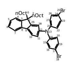 CCCCCCCCC1(CCCCCCCC)c2ccccc2-c2ccc(N(c3ccc(Br)cc3)c3ccc(Br)cc3)cc21